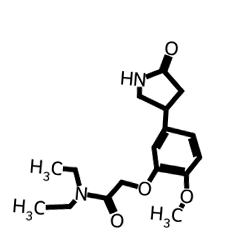 CCN(CC)C(=O)COc1cc(C2CNC(=O)C2)ccc1OC